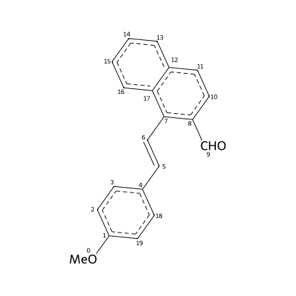 COc1ccc(C=Cc2c(C=O)ccc3ccccc23)cc1